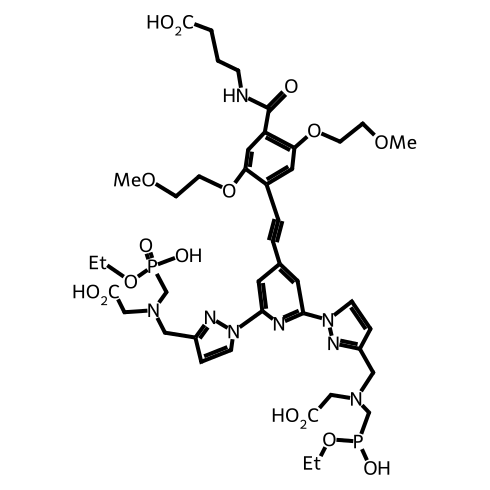 CCOP(O)CN(CC(=O)O)Cc1ccn(-c2cc(C#Cc3cc(OCCOC)c(C(=O)NCCCC(=O)O)cc3OCCOC)cc(-n3ccc(CN(CC(=O)O)CP(=O)(O)OCC)n3)n2)n1